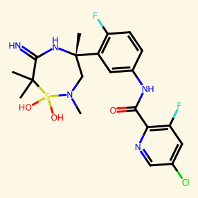 CN1C[C@@](C)(c2cc(NC(=O)c3ncc(Cl)cc3F)ccc2F)NC(=N)C(C)(C)S1(O)O